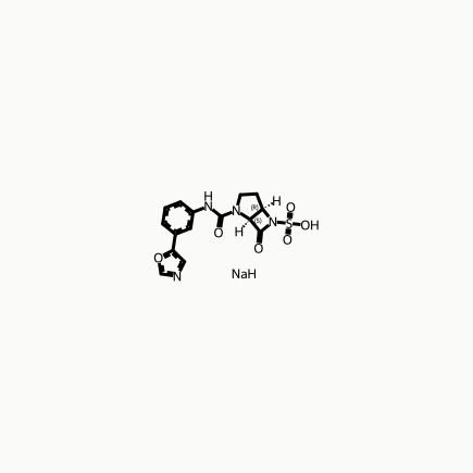 O=C(Nc1cccc(-c2cnco2)c1)N1CC[C@@H]2[C@H]1C(=O)N2S(=O)(=O)O.[NaH]